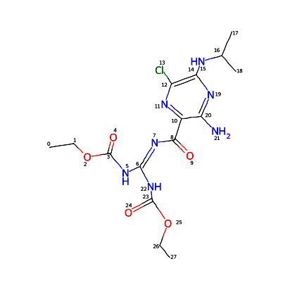 CCOC(=O)NC(=NC(=O)c1nc(Cl)c(NC(C)C)nc1N)NC(=O)OCC